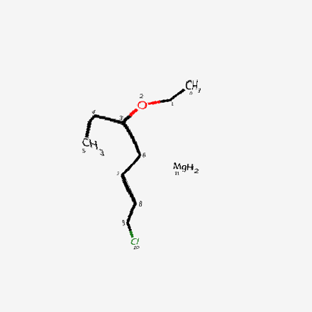 CCOC(CC)CCCCCl.[MgH2]